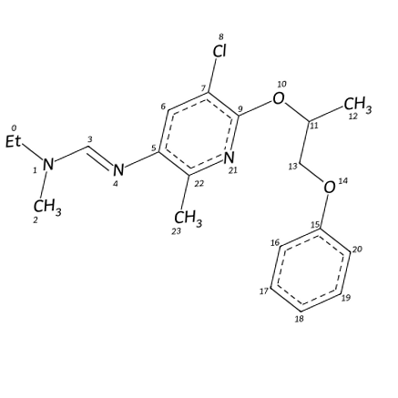 CCN(C)C=Nc1cc(Cl)c(OC(C)COc2ccccc2)nc1C